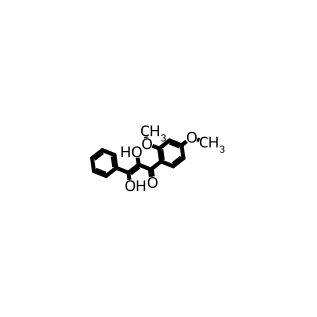 COc1ccc(C(=O)/C(O)=C(\O)c2ccccc2)c(OC)c1